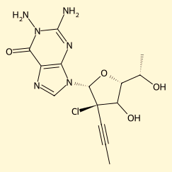 CC#C[C@@]1(Cl)C(O)[C@@H]([C@H](C)O)O[C@H]1n1cnc2c(=O)n(N)c(N)nc21